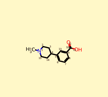 CN1CCC(c2cccc(C(=O)O)c2)CC1